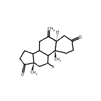 C=C1CC2C3CCC(=O)[C@@]3(C)CC(F)C2[C@@]2(C)CCC(=O)C[C@H]12